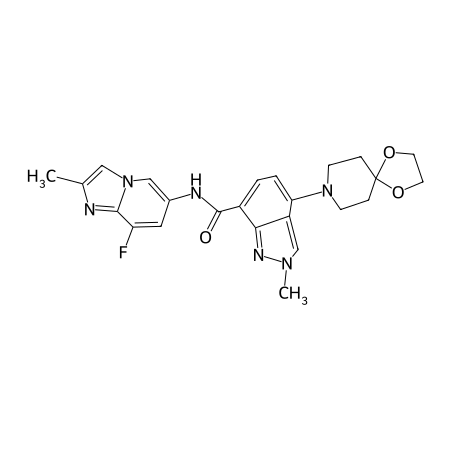 Cc1cn2cc(NC(=O)c3ccc(N4CCC5(CC4)OCCO5)c4cn(C)nc34)cc(F)c2n1